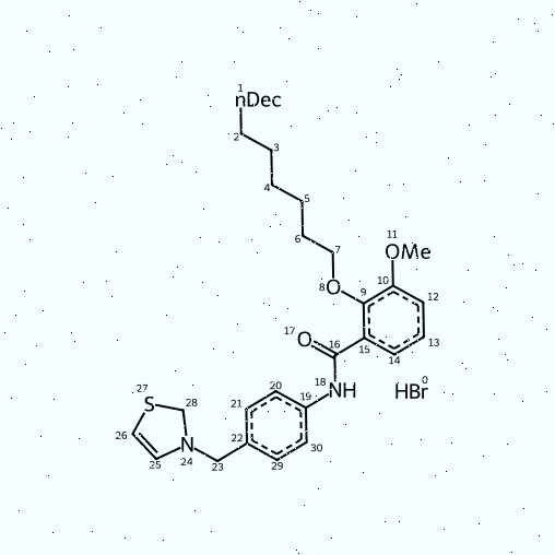 Br.CCCCCCCCCCCCCCCCOc1c(OC)cccc1C(=O)Nc1ccc(CN2C=CSC2)cc1